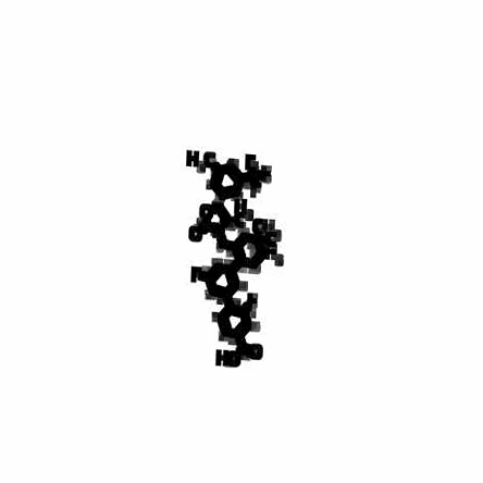 Cc1cc([C@H]2OC(=O)N(CC3=C(c4cc(F)cc(-c5ccc(C(=O)O)cc5F)c4)CCC(C)(C)C3)[C@H]2C)cc(C(F)(F)F)c1